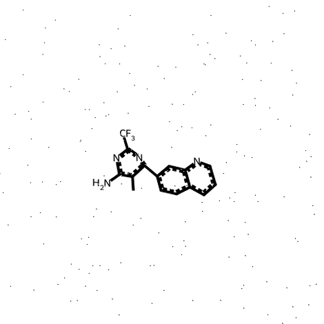 Cc1c(N)nc(C(F)(F)F)nc1-c1ccc2cccnc2c1